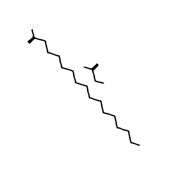 CCC(=O)O.CCCCCCCCCCCCCCCC(N)=O